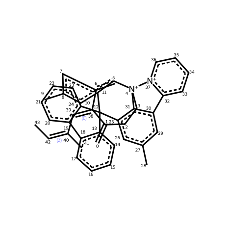 C=C1CC[N+]23c4c(cc(C)cc4C4(c5ccccc5-c5ccccc54)c4cc(C)cc(c42)-c2cccc[n+]23)/C1=C/C(C)=C\C